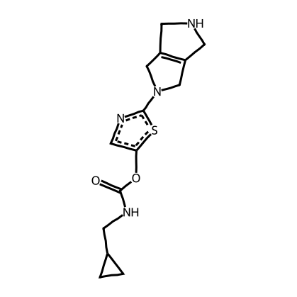 O=C(NCC1CC1)Oc1cnc(N2CC3=C(CNC3)C2)s1